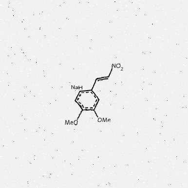 COc1ccc(C=C[N+](=O)[O-])cc1OC.[NaH]